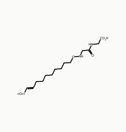 CCCCCCCCC=CCCCCCCCCONCC(=O)NCC(=O)O